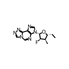 CC[C@H]1O[C@@H](n2cnc3c2ncn2cnnc32)[C@H](F)[C@@H]1C